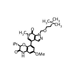 COc1cc2c(c(-c3cn(C)c(=O)c4c3cnn4COCCS(C)(C)C)c1)OC(C(C)C)C(=O)N2